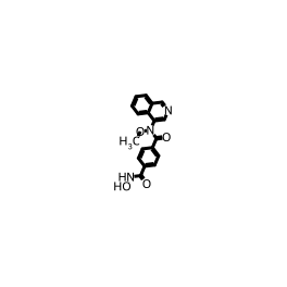 CON(C(=O)c1ccc(C(=O)NO)cc1)c1cncc2ccccc12